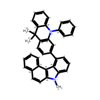 Cn1c2cccc(-c3ccc4c(c3)N(c3ccccc3)c3ccccc3C4(C)C)c2c2c3ccccc3ccc21